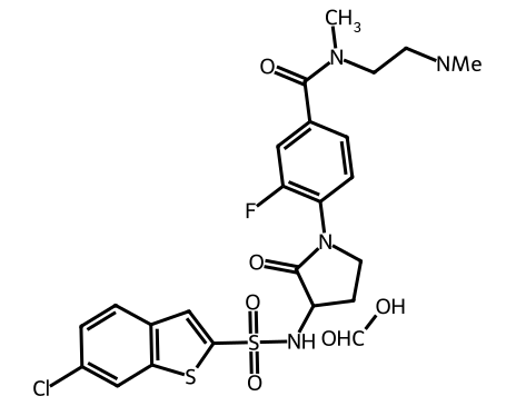 CNCCN(C)C(=O)c1ccc(N2CCC(NS(=O)(=O)c3cc4ccc(Cl)cc4s3)C2=O)c(F)c1.O=CO